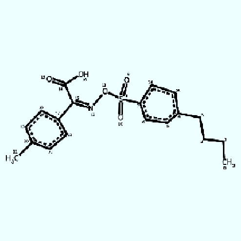 CCCCc1ccc(S(=O)(=O)ON=C(C(=O)O)c2ccc(C)cc2)cc1